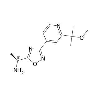 COC(C)(C)c1cc(-c2noc([C@H](C)N)n2)ccn1